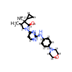 CC1CN(c2ccnc(Nc3ccc(N4CCOCC4)cc3)n2)C(=O)C1(C#N)C1CC1